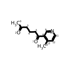 CC(=O)CCCC(=O)c1cnccc1C